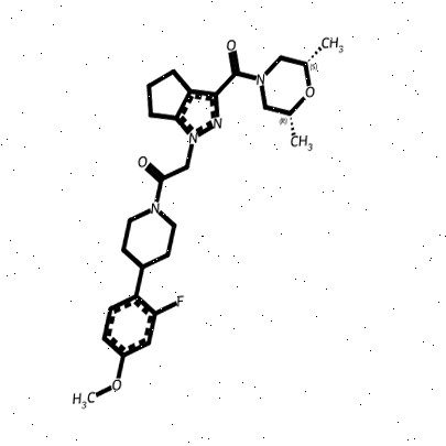 COc1ccc(C2CCN(C(=O)Cn3nc(C(=O)N4C[C@@H](C)O[C@@H](C)C4)c4c3CCC4)CC2)c(F)c1